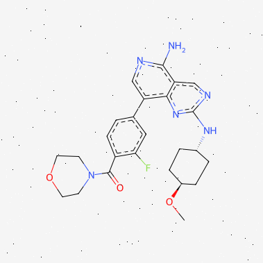 CO[C@H]1CC[C@H](Nc2ncc3c(N)ncc(-c4ccc(C(=O)N5CCOCC5)c(F)c4)c3n2)CC1